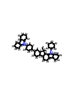 CC1(C)c2cc(-c3ccc(-n4c5ccccc5c5ccccc54)cc3)ccc2-c2ccc3c4ccccc4n(-c4ccccc4)c3c21